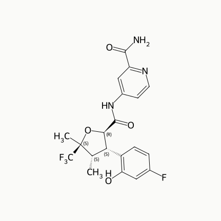 C[C@H]1[C@@H](c2ccc(F)cc2O)[C@H](C(=O)Nc2ccnc(C(N)=O)c2)O[C@]1(C)C(F)(F)F